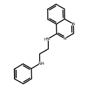 c1ccc(NCCNc2ncnc3ccccc23)cc1